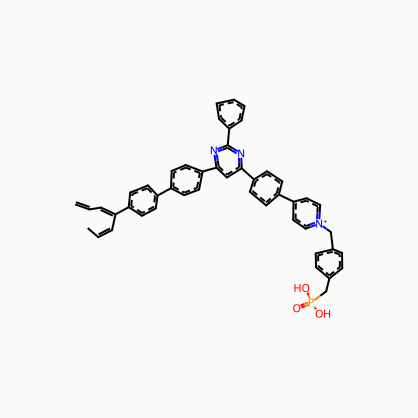 C=C/C=C(\C=C/C)c1ccc(-c2ccc(-c3cc(-c4ccc(-c5cc[n+](Cc6ccc(CP(=O)(O)O)cc6)cc5)cc4)nc(-c4ccccc4)n3)cc2)cc1